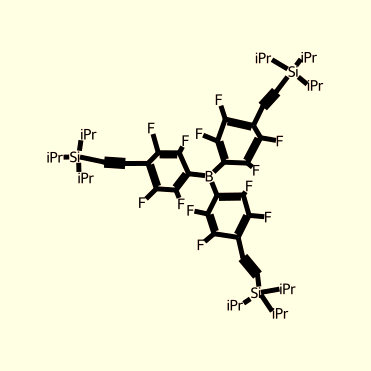 CC(C)[Si](C#Cc1c(F)c(F)c(B(c2c(F)c(F)c(C#C[Si](C(C)C)(C(C)C)C(C)C)c(F)c2F)c2c(F)c(F)c(C#C[Si](C(C)C)(C(C)C)C(C)C)c(F)c2F)c(F)c1F)(C(C)C)C(C)C